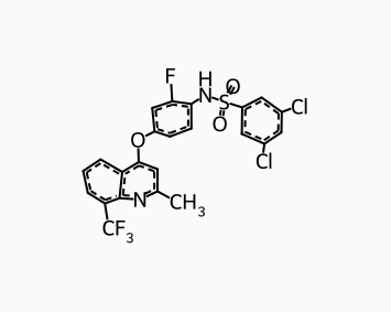 Cc1cc(Oc2ccc(NS(=O)(=O)c3cc(Cl)cc(Cl)c3)c(F)c2)c2cccc(C(F)(F)F)c2n1